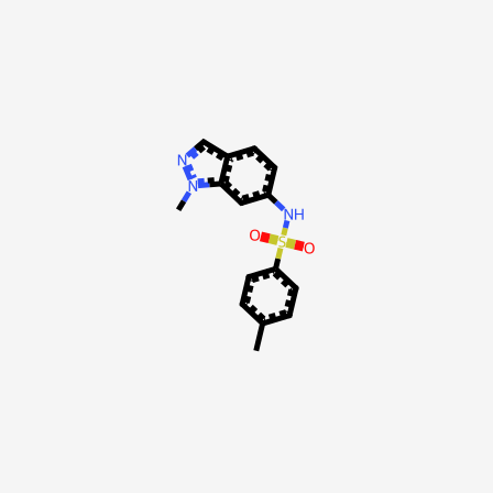 Cc1ccc(S(=O)(=O)Nc2ccc3cnn(C)c3c2)cc1